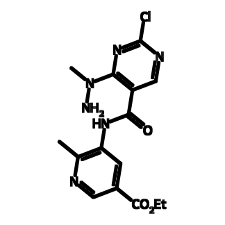 CCOC(=O)c1cnc(C)c(NC(=O)c2cnc(Cl)nc2N(C)N)c1